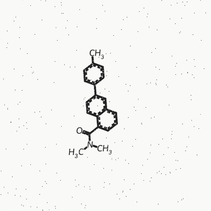 Cc1ccc(-c2ccc3c(C(=O)N(C)C)cccc3c2)cc1